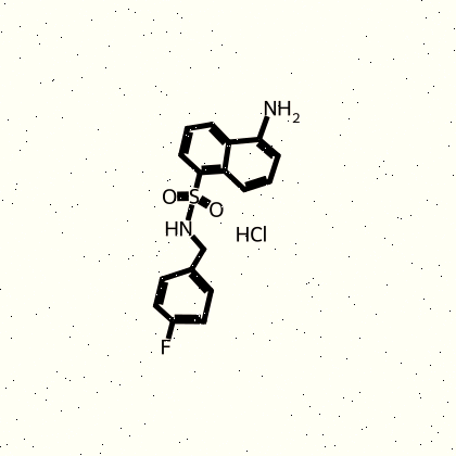 Cl.Nc1cccc2c(S(=O)(=O)NCc3ccc(F)cc3)cccc12